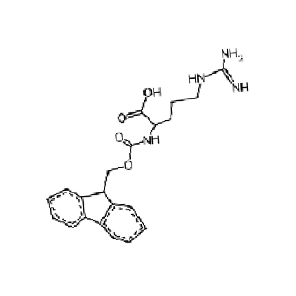 N=C(N)NCCCC(NC(=O)OCC1c2ccccc2-c2ccccc21)C(=O)O